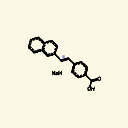 O=C(O)c1ccc(/C=C/c2ccc3ccccc3c2)cc1.[NaH]